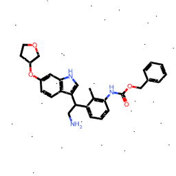 Cc1c(NC(=O)OCc2ccccc2)cccc1C(CN)c1c[nH]c2cc(OC3CCOC3)ccc12